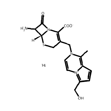 Cc1c2ccc(CO)[n+]-2ccn1CC1=C(C(=O)[O-])N2C(=O)C(N)[C@H]2SC1.I